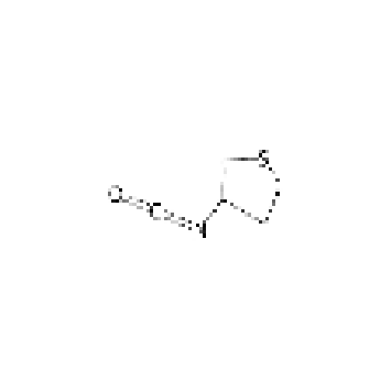 O=C=NC1CCSC1